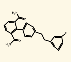 NC(=O)c1cccc(C(N)=O)c1-c1ccc(CCc2cccc(F)c2)cc1